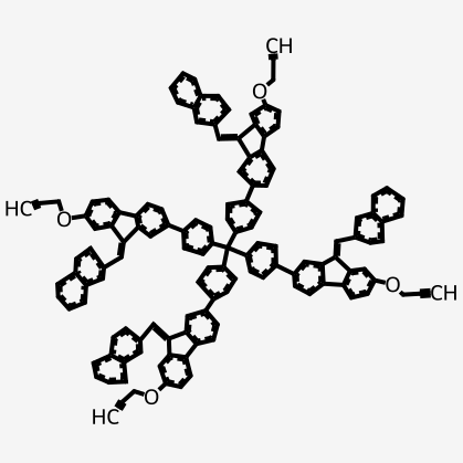 C#CCOc1ccc2c(c1)/C(=C\c1ccc3ccccc3c1)c1cc(-c3ccc(C(c4ccc(-c5ccc6c(c5)/C(=C/c5ccc7ccccc7c5)c5cc(OCC#C)ccc5-6)cc4)(c4ccc(-c5ccc6c(c5)/C(=C/c5ccc7ccccc7c5)c5cc(OCC#C)ccc5-6)cc4)c4ccc(-c5ccc6c(c5)/C(=C/c5ccc7ccccc7c5)c5cc(OCC#C)ccc5-6)cc4)cc3)ccc1-2